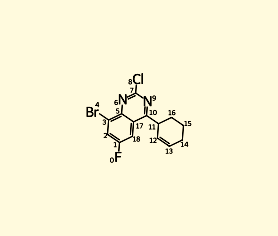 Fc1cc(Br)c2nc(Cl)nc(C3C=CCCC3)c2c1